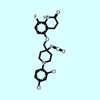 O=C=NC1(COc2ccc(F)c3c2CCC(=O)N3)CCN(c2ccc(Cl)cc2Cl)CC1